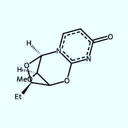 CC[C@H]1O[C@@H]2[C@H](OC)C1Oc1nc(=O)ccn12